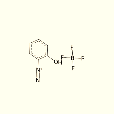 F[B-](F)(F)F.N#[N+]c1ccccc1O